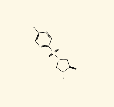 C=C1CN(S(=O)(=O)c2ccc(Cl)cn2)C[C@H]1O